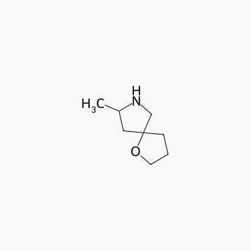 CC1CC2(CCCO2)CN1